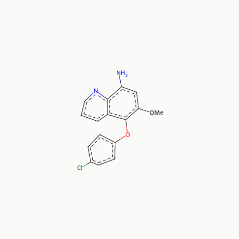 COc1cc(N)c2ncccc2c1Oc1ccc(Cl)cc1